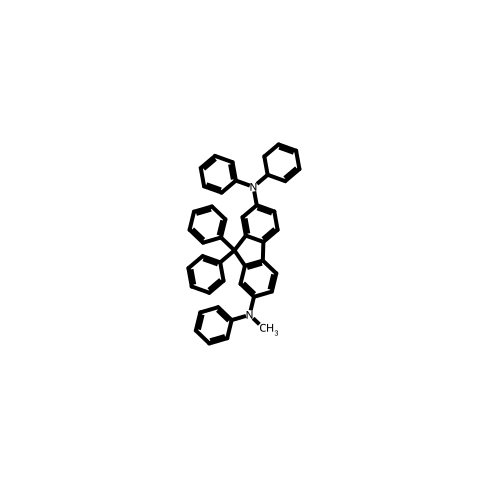 CN(c1ccccc1)c1ccc2c(c1)C(c1ccccc1)(c1ccccc1)c1cc(N(c3ccccc3)C3C=CC=CC3)ccc1-2